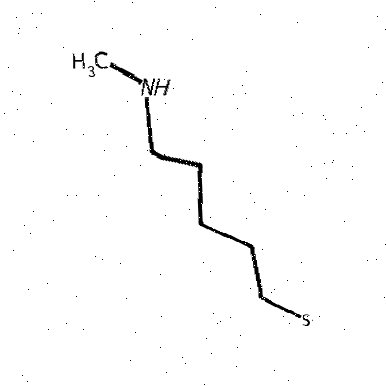 CNCCCCC[S]